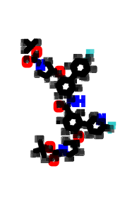 CC(C)(C)OC(=O)N1CC[C@H](Oc2ccc(NC(=O)c3ccc(O[C@H]4CCN(C(=O)OC(C)(C)C)C4)c(-c4ccc(F)nc4)c3)cc2-c2ccc(F)cc2)C1